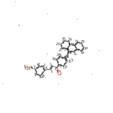 O=C(/C=C/c1ccc(Br)cc1)c1ccc(-c2cc3ccccc3c3ccccc23)cc1